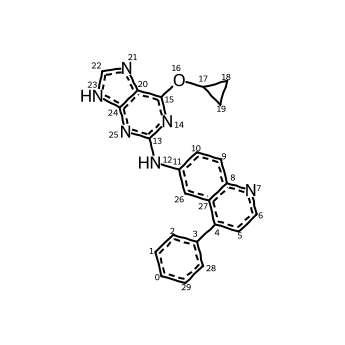 c1ccc(-c2ccnc3ccc(Nc4nc(OC5CC5)c5nc[nH]c5n4)cc23)cc1